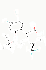 [2H]C([2H])([2H])Oc1cc(F)c(F)cc1[C@@H](C(=O)O)[C@H](C)[C@@H](C)C(F)(F)F